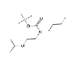 CCCCN(CCOC(C)C)C(=O)OC(C)(C)C